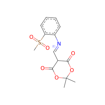 CC1(C)OC(=O)C(/C=N/c2ccccc2S(C)(=O)=O)C(=O)O1